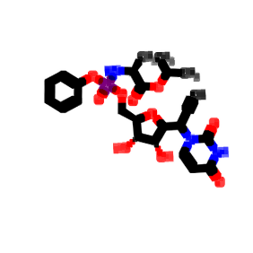 C#CC(C1O[C@H](COP(=O)(N[C@@H](C)C(=O)OC(C)C)Oc2ccccc2)[C@@H](O)[C@H]1O)n1ccc(=O)[nH]c1=O